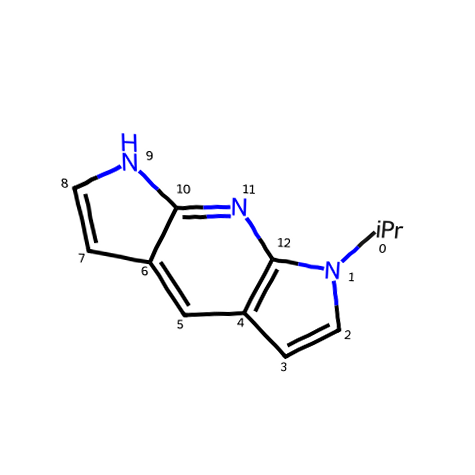 CC(C)n1ccc2cc3cc[nH]c3nc21